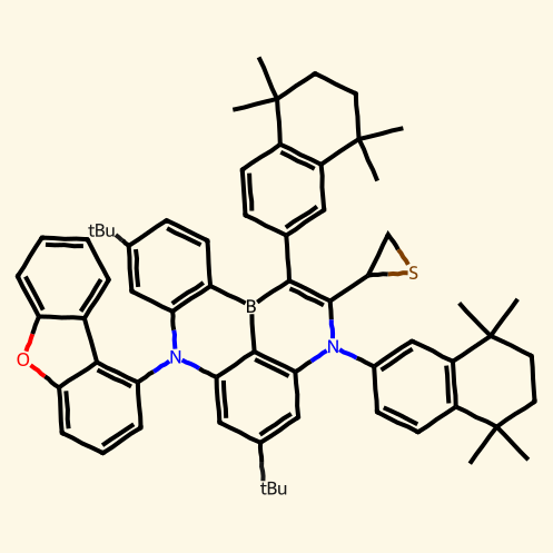 CC(C)(C)c1ccc2c(c1)N(c1cccc3oc4ccccc4c13)c1cc(C(C)(C)C)cc3c1B2C(c1ccc2c(c1)C(C)(C)CCC2(C)C)=C(C1CS1)N3c1ccc2c(c1)C(C)(C)CCC2(C)C